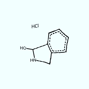 Cl.OC1NCc2ccccc21